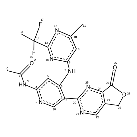 CC(=O)Nc1cc(Nc2cc(C)nc(C(C)(F)F)n2)c(-c2ncc3c(n2)C(=O)OC3)cn1